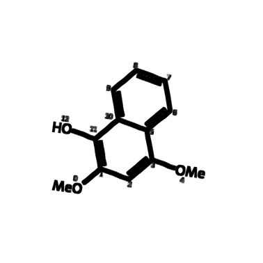 COc1cc(OC)c2ccccc2c1O